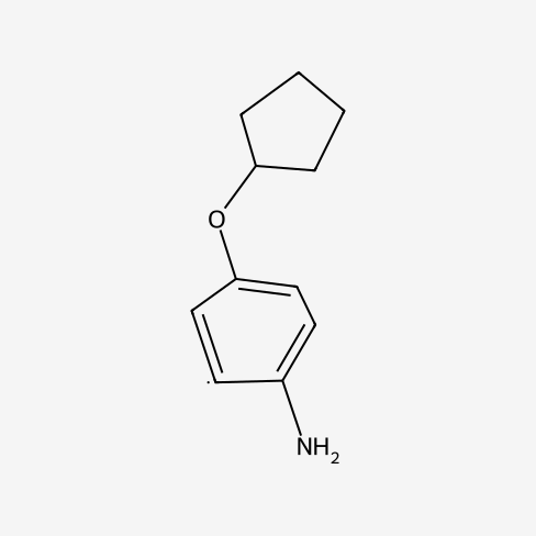 Nc1[c]cc(OC2CCCC2)cc1